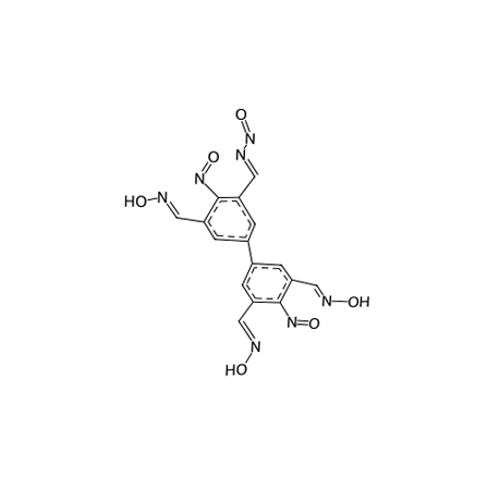 O=N/N=C/c1cc(-c2cc(/C=N/O)c(N=O)c(/C=N/O)c2)cc(/C=N/O)c1N=O